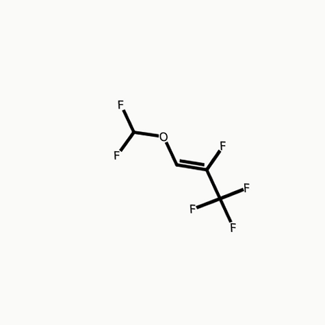 FC(=COC(F)F)C(F)(F)F